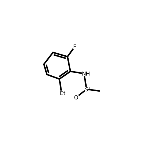 CCc1cccc(F)c1N[S+](C)[O-]